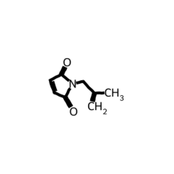 C=C(C)CN1C(=O)C=CC1=O